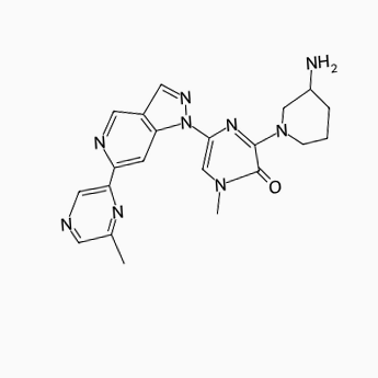 Cc1cncc(-c2cc3c(cn2)cnn3-c2cn(C)c(=O)c(N3CCCC(N)C3)n2)n1